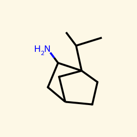 CC(C)C12CCC(CC1N)C2